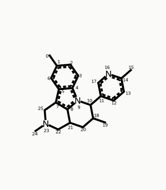 Cc1ccc2c(c1)c1c3n2C(c2ccc(C)nc2)C(C)CC3CN(C)C1